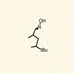 CC(/C=N/O)CC(C)C(C)(C)C